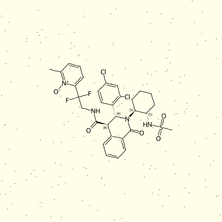 Cc1cccc(C(F)(F)CNC(=O)[C@@H]2c3ccccc3C(=O)N([C@H]3CCCC[C@@H]3NS(C)(=O)=O)[C@H]2c2ccc(Cl)cc2Cl)[n+]1[O-]